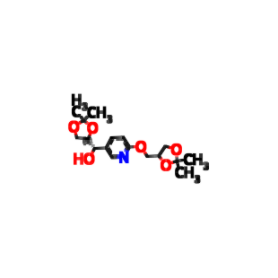 CC1(C)OCC(COc2ccc(C(O)[C@@H]3COC(C)(C)O3)cn2)O1